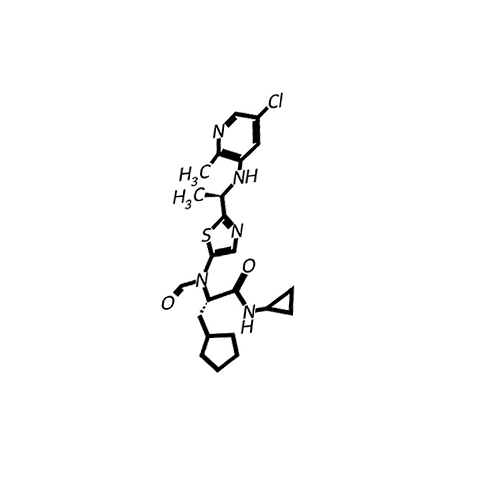 Cc1ncc(Cl)cc1N[C@H](C)c1ncc(N(C=O)[C@@H](CC2CCCC2)C(=O)NC2CC2)s1